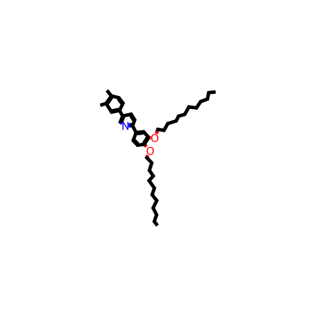 CCCCCCCCCCCCOc1ccc(-c2ccc(-c3ccc(C)c(C)c3)cn2)cc1OCCCCCCCCCCCC